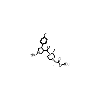 C[C@@H](C(=O)OC(C)(C)C)N1CCN(C(=O)C2CN(C(C)(C)C)CC2c2ccc(Cl)cc2)[C@@H](C)C1